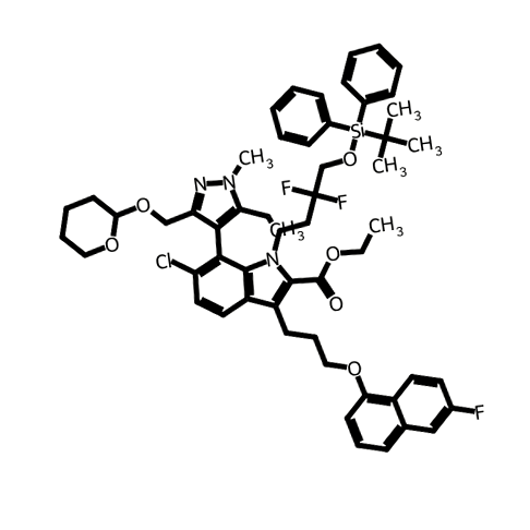 CCOC(=O)c1c(CCCOc2cccc3cc(F)ccc23)c2ccc(Cl)c(-c3c(COC4CCCCO4)nn(C)c3CC)c2n1CCC(F)(F)CO[Si](c1ccccc1)(c1ccccc1)C(C)(C)C